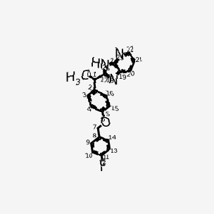 CC(c1ccc(OCc2ccc(F)cc2)cc1)c1nc2cccnc2[nH]1